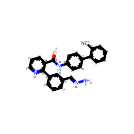 N#Cc1ccccc1-c1ccc(NC(=O)c2cccnc2-c2cccc(C=NN)c2)cc1